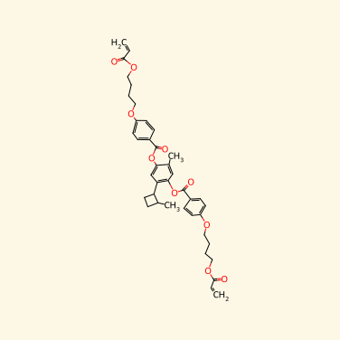 C=CC(=O)OCCCCOc1ccc(C(=O)Oc2cc(C3CCC3C)c(OC(=O)c3ccc(OCCCCOC(=O)C=C)cc3)cc2C)cc1